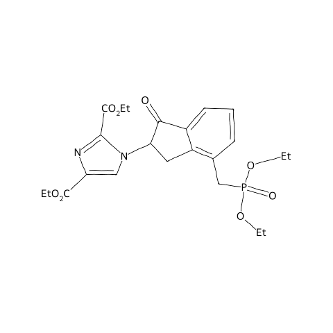 CCOC(=O)c1cn(C2Cc3c(CP(=O)(OCC)OCC)cccc3C2=O)c(C(=O)OCC)n1